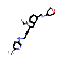 Cc1ccc(NCC#Cc2cc3cc(CNC4CCOCC4)ccc3n2CC(F)(F)F)cn1